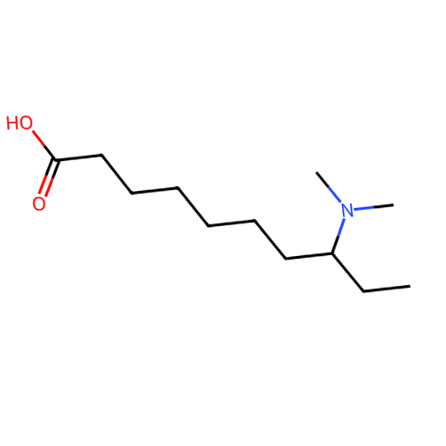 CCC(CCCCCCC(=O)O)N(C)C